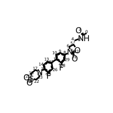 CC(=O)NC[C@H]1CN(c2ccc(-c3ccc(N4CCS(=O)(=O)CC4)c(F)c3)c(F)c2)C(=O)O1